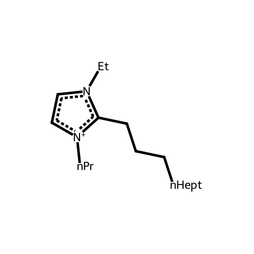 CCCCCCCCCCc1n(CC)cc[n+]1CCC